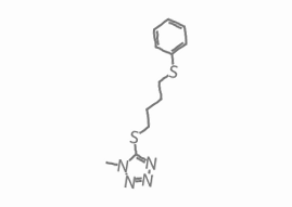 Cn1nnnc1SCCCCSc1ccccc1